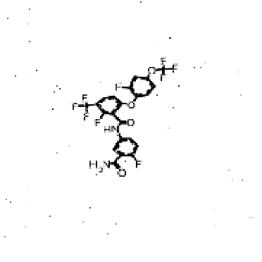 NC(=O)c1cc(NC(=O)c2c(Oc3ccc(OC(F)(F)F)cc3F)ccc(C(F)(F)F)c2F)ccc1F